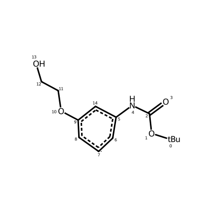 CC(C)(C)OC(=O)Nc1c[c]cc(OCCO)c1